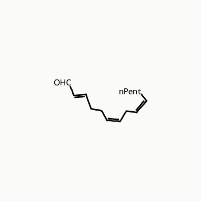 CCCCC/C=C\C/C=C\CC/C=C/C=O